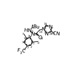 Cc1cc(C(F)(F)F)cc(C)c1N(NC(C)(C)C)C(=O)Cn1cnc(C#N)n1